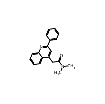 CN(C)C(=O)Cc1cc(-c2ccccc2)nc2ccccc12